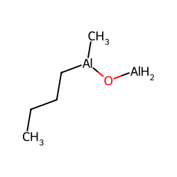 CCC[CH2][Al]([CH3])[O][AlH2]